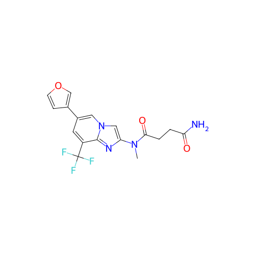 CN(C(=O)CCC(N)=O)c1cn2cc(-c3ccoc3)cc(C(F)(F)F)c2n1